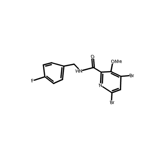 COc1c(Br)cc(Br)nc1C(=O)NCc1ccc(F)cc1